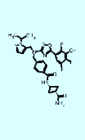 CC(C)n1nccc1CN(Cc1ccc(C(=O)N[C@H]2C[C@H](C(N)=O)C2)cc1)c1noc(-c2cc(F)c(F)c(O)c2F)n1